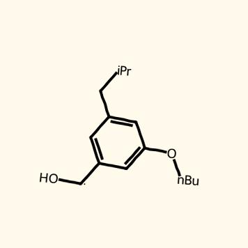 CCCCOc1cc([CH]O)cc(CC(C)C)c1